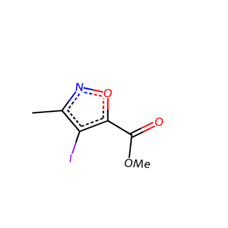 COC(=O)c1onc(C)c1I